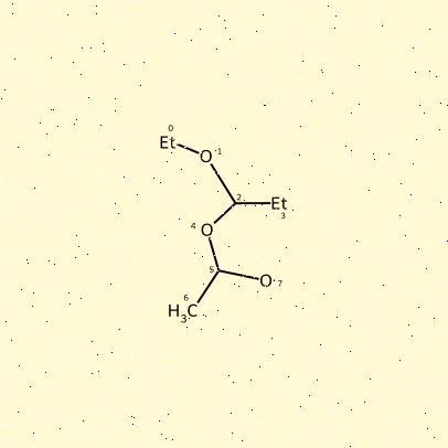 CCOC(CC)OC(C)[O]